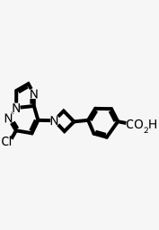 O=C(O)c1ccc(C2CN(c3cc(Cl)nn4ccnc34)C2)cc1